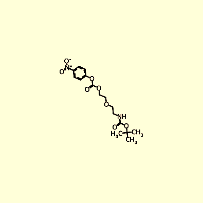 CC(C)(C)OC(=O)NCCOCCOC(=O)Oc1ccc([N+](=O)[O-])cc1